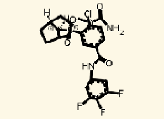 NC(=O)OC[C@@H]1CC2CC[C@@H](C1)[C@H]2S(=O)(=O)c1cc(C(=O)Nc2cc(F)c(F)c(F)c2)ccc1Cl